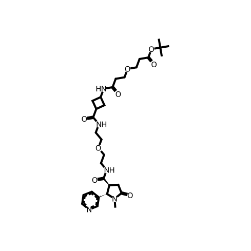 CN1C(=O)C[C@H](C(=O)NCCOCCNC(=O)C2CC(NC(=O)CCOCCC(=O)OC(C)(C)C)C2)[C@H]1c1cccnc1